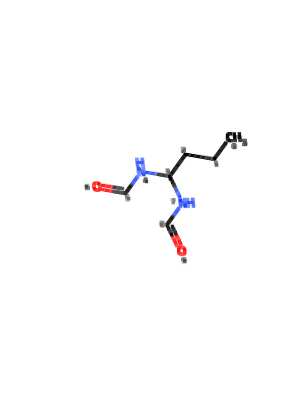 CCC[C](NC=O)NC=O